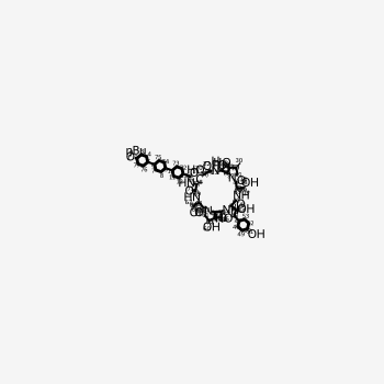 CCCCOc1ccc(-c2ccc(-c3ccc(C(=O)N[C@H]4C[C@@H](O)[C@@H](O)NC(=O)[C@@H]5[C@@H](O)[C@@H](C)CN5C(=O)[C@H]([C@@H](C)O)NC(=O)[C@H]([C@H](O)[C@@H](O)c5ccc(O)cc5)NC(=O)[C@@H]5C[C@@H](O)CN5C(=O)[C@H]([C@@H](C)O)NC4=O)cc3)cc2)cc1